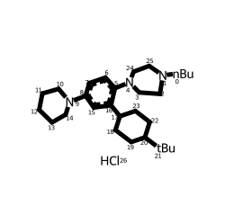 CCCCN1CCN(c2ccc(N3CCCCC3)cc2C2CCC(C(C)(C)C)CC2)CC1.Cl